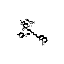 CC(=O)[C@H](CCN(CCCCc1ccc2c(n1)NCCC2)CCOc1ccc(C)nc1)Nc1c2cnn(C)c2nc[n+]1O